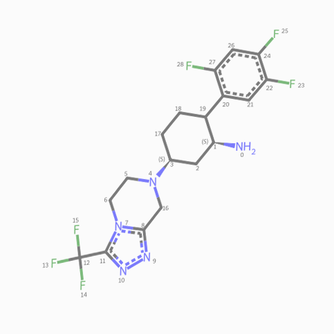 N[C@H]1C[C@@H](N2CCn3c(nnc3C(F)(F)F)C2)CCC1c1cc(F)c(F)cc1F